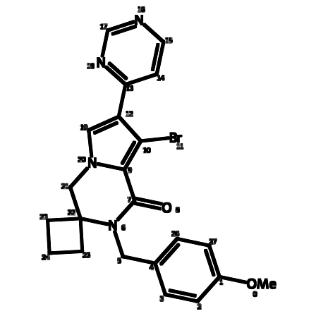 COc1ccc(CN2C(=O)c3c(Br)c(-c4ccncn4)cn3CC23CCC3)cc1